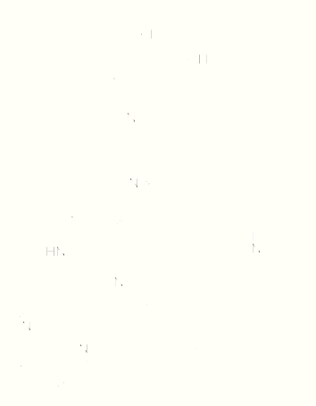 CC1(O)CN(c2ccc(Nc3nc(-c4ccc5cc[nH]c5c4)cn4ccnc34)cn2)C1